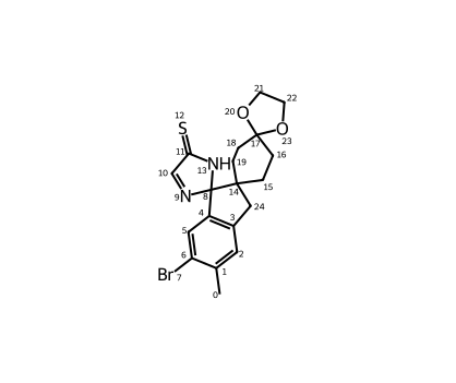 Cc1cc2c(cc1Br)C1(N=CC(=S)N1)C1(CCC3(CC1)OCCO3)C2